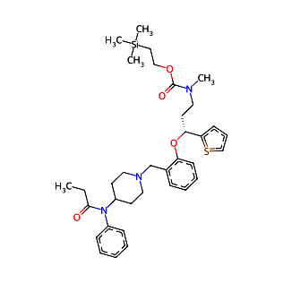 CCC(=O)N(c1ccccc1)C1CCN(Cc2ccccc2O[C@H](CCN(C)C(=O)OCC[Si](C)(C)C)c2cccs2)CC1